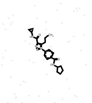 CCCc1c(C(=O)NC2CC2)nnn1-c1ccc(C(=O)NC2CCCC2)cc1